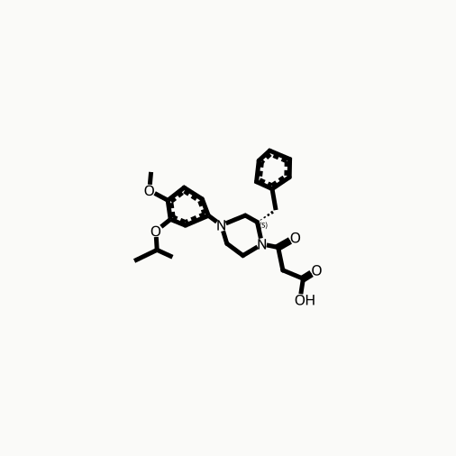 COc1ccc(N2CCN(C(=O)CC(=O)O)[C@@H](Cc3ccccc3)C2)cc1OC(C)C